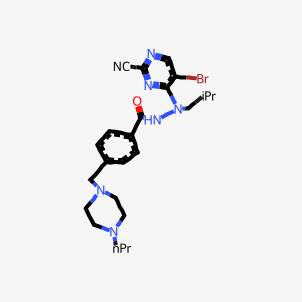 CCCN1CCN(Cc2ccc(C(=O)NN(CC(C)C)c3nc(C#N)ncc3Br)cc2)CC1